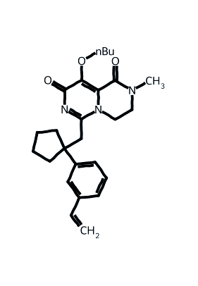 C=Cc1cccc(C2(Cc3nc(=O)c(OCCCC)c4n3CCN(C)C4=O)CCCC2)c1